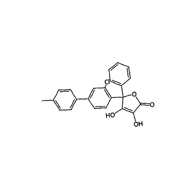 Cc1ccc(-c2ccc(C3(c4ccccc4)OC(=O)C(O)=C3O)c(Cl)c2)cc1